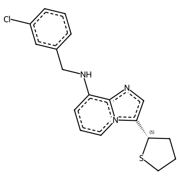 Clc1cccc(CNc2cccn3c([C@@H]4CCCS4)cnc23)c1